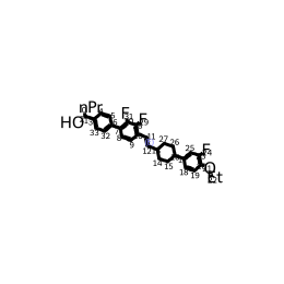 CCCC(O)c1ccc(-c2ccc(/C=C/C3CCC(c4ccc(OCC)c(F)c4)CC3)c(F)c2F)cc1